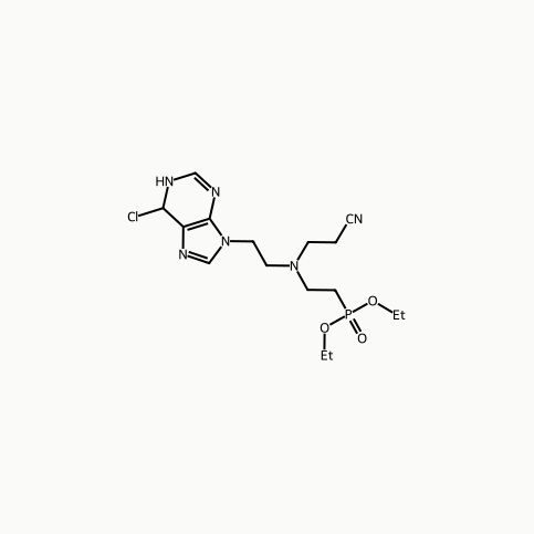 CCOP(=O)(CCN(CCC#N)CCn1cnc2c1N=CNC2Cl)OCC